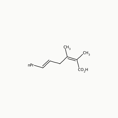 CCCC=CC/C(C)=C(/C)C(=O)O